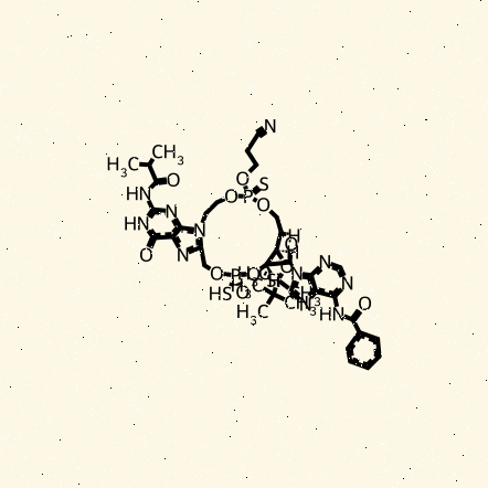 CC(C)C(=O)Nc1nc2c(nc3n2CCOP(=S)(OCCC#N)OC[C@H]2O[C@@H](n4cnc5c(NC(=O)c6ccccc6)ncnc54)[C@H](OP(=O)(S)OC3)[C@@H]2O[Si](C)(C)C(C)(C)C)c(=O)[nH]1